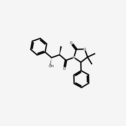 C[C@@H](C(=O)N1C(=O)OC(C)(C)C1c1ccccc1)[C@H](O)c1ccccc1